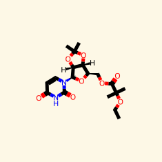 CCOC(C)(C)C(=O)OC[C@H]1O[C@@H](n2ccc(=O)[nH]c2=O)[C@@H]2OC(C)(C)O[C@@H]21